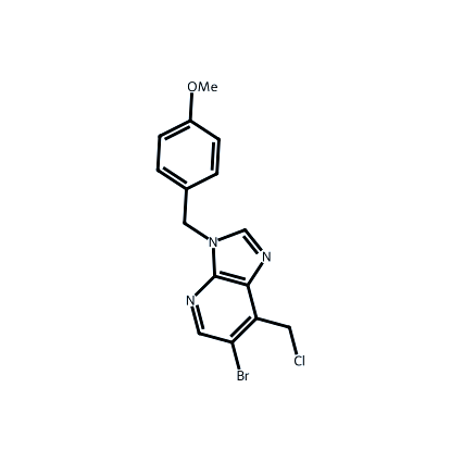 COc1ccc(Cn2cnc3c(CCl)c(Br)cnc32)cc1